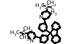 C[Si](C)(C)c1ccc(-c2cccc(C3(c4cccc(-c5ccc([Si](C)(C)C)cn5)c4)c4ccccc4-c4ccccc43)c2)nc1